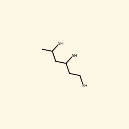 CC(S)CC(S)CCS